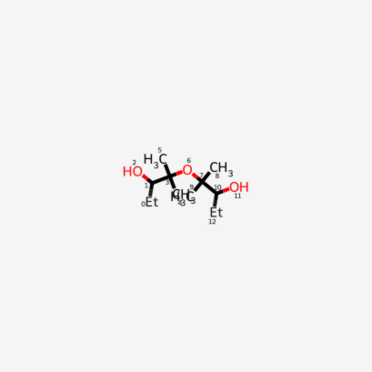 CCC(O)C(C)(C)OC(C)(C)C(O)CC